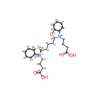 O=C(O)CCCN1c2ccccc2OC1CCCc1sc2ccccc2[n+]1CCCC(=O)O